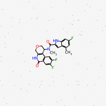 Cc1cc(F)cc2[nH]c(C(=O)N(C)C3COCc4[nH]c(=O)c5cc(F)c(F)cc5c43)cc12